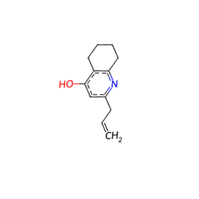 C=CCc1cc(O)c2c(n1)CCCC2